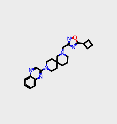 c1ccc2nc(N3CCC4(CCCN(Cc5noc(C6CCC6)n5)C4)CC3)cnc2c1